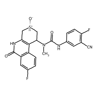 CN(C(=O)Nc1ccc(F)c(C#N)c1)C1C[S@@+]([O-])Cc2[nH]c(=O)c3cc(F)ccc3c21